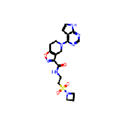 O=C(NCCS(=O)(=O)N1CCC1)c1noc2c1CN(c1ncnc3[nH]ccc13)CC2